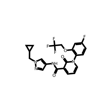 O=C(Nc1cnn(CC2CC2)c1)c1cccn(-c2ccc(F)cc2OCC(F)(F)F)c1=O